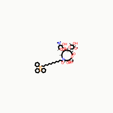 CC[C@H]1OC(=O)[C@H](C)[C@@H](C2C[C@@](C)(OC)[C@@H](O)[C@H](C)O2)[C@H](C)[C@@H](O[C@@H]2O[C@H](C)C[C@H](N(C)C)[C@H]2O)[C@](C)(O)C[C@@H](C)CN(C(=O)CCCCCCCCCCC[PH](C2CCCCC2)(C2CCCCC2)C2CCCCC2)[C@H](C)[C@@H](O)[C@]1(C)O